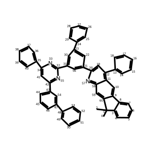 CC1(C)c2ccccc2-c2cc3c(-c4ccccc4)cc(-c4cc(-c5ccccc5)cc(-c5nc(-c6ccccc6)cc(-c6cccc(-c7ccccc7)c6)n5)c4)nc3cc21